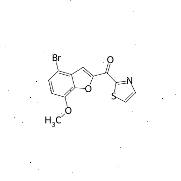 COc1ccc(Br)c2cc(C(=O)c3nccs3)oc12